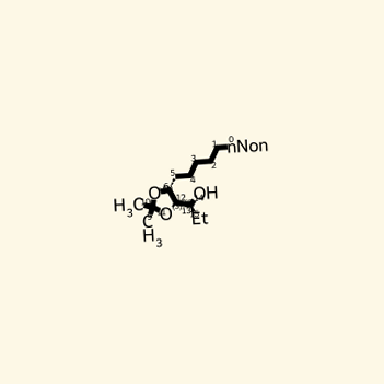 CCCCCCCCCCCCCC[C@H]1OC(C)(C)O[C@H]1[C@@H](O)CC